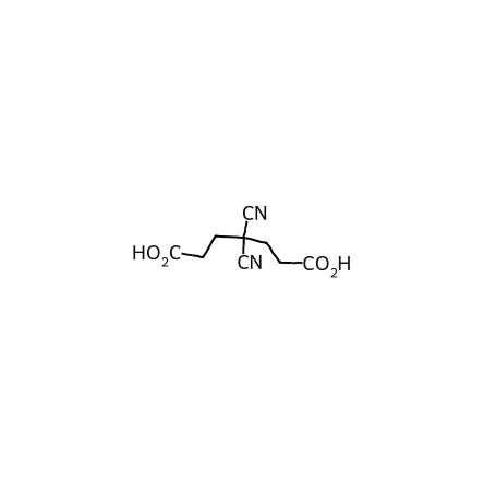 N#CC(C#N)(CCC(=O)O)CCC(=O)O